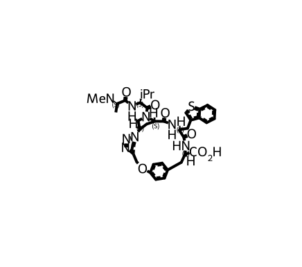 CN[C@@H](C)C(=O)N[C@H](C(=O)N1C[C@@H]2C[C@H]1C(=O)N[C@@H](Cc1csc3ccccc13)C(=O)N[C@H](C(=O)O)Cc1ccc(cc1)OCc1cn2nn1)C(C)C